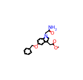 COC(=O)Cc1cn(CC(N)=O)c2ccc(OCc3ccccc3)cc12